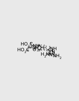 CC(C)(CCc1c[nH]c2nc(N)nc(N)c12)c1ccc(C(=O)N[C@@H](CCC(=O)O)C(=O)O)cc1